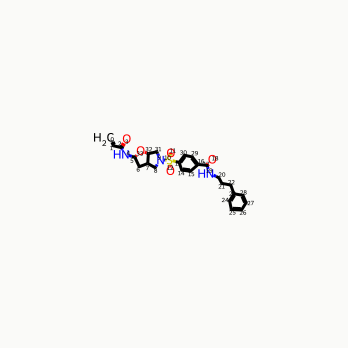 C=CC(=O)NC1CC2CN(S(=O)(=O)c3ccc(C(=O)NCCCc4ccccc4)cc3)CC2O1